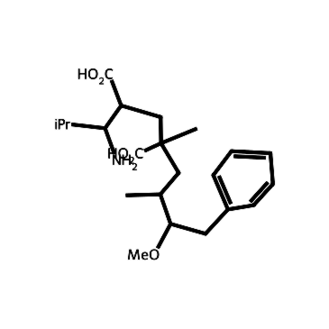 COC(Cc1ccccc1)C(C)CC(C)(CC(C(=O)O)C(N)C(C)C)C(=O)O